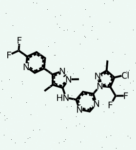 Cc1nn(-c2cc(Nc3c(C)c(-c4ccc(C(F)F)nc4)nn3C)ncn2)c(C(F)F)c1Cl